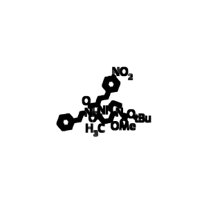 CO[C@H]([C@@H](C)C(=O)NC(CCc1ccc([N+](=O)[O-])cc1)C(=O)NCCc1ccccc1)[C@@H]1CCCN1C(=O)OC(C)(C)C